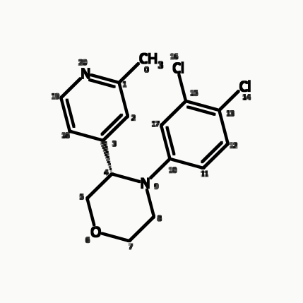 Cc1cc([C@H]2COCCN2c2ccc(Cl)c(Cl)c2)ccn1